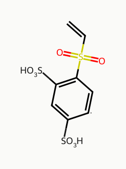 C=CS(=O)(=O)c1c[c]c(S(=O)(=O)O)cc1S(=O)(=O)O